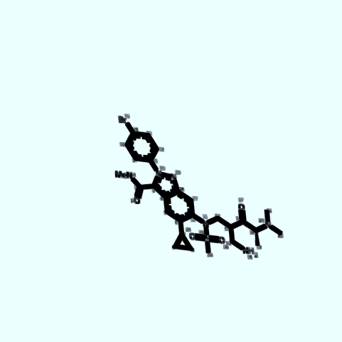 CNC(=O)c1c2cc(C3CC3)c(N(CC(CN)C(=O)[C@H](C)N(C)C)S(C)(=O)=O)cc2nn1-c1ccc(Br)cc1